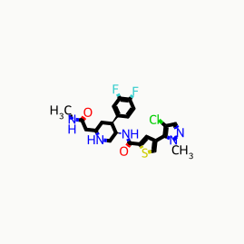 CNC(=O)CC1C[C@@H](c2ccc(F)c(F)c2)[C@H](NC(=O)c2cc(-c3c(Cl)cnn3C)cs2)CN1